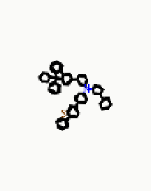 c1ccc(-c2cccc(N(c3ccc(-c4ccc5c(c4)sc4ccccc45)cc3)c3cccc(-c4ccc5c(c4)-c4ccccc4C5(c4ccccc4)c4ccccc4)c3)c2)cc1